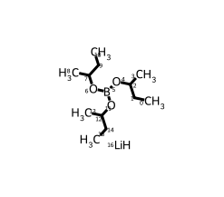 CCC(C)OB(OC(C)CC)OC(C)CC.[LiH]